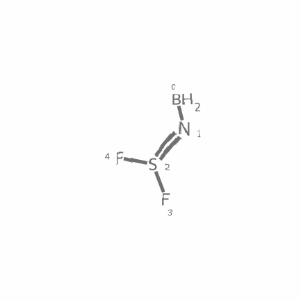 BN=S(F)F